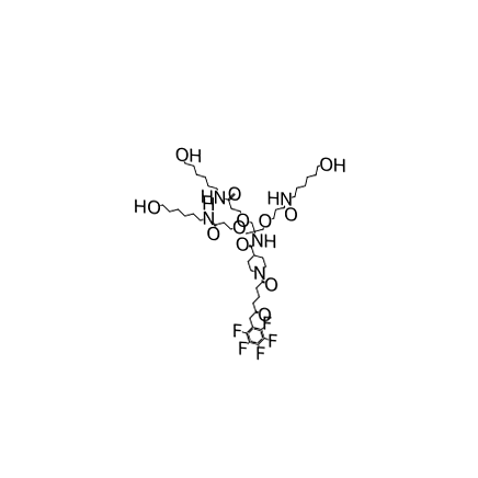 O=C(CCCC(=O)N1CCC(C(=O)NC(COCCC(=O)NCCCCCCO)(COCCC(=O)NCCCCCCO)COCCC(=O)NCCCCCCO)CC1)Cc1c(F)c(F)c(F)c(F)c1F